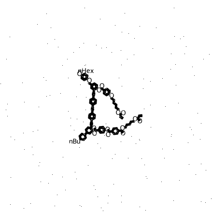 C=CC(=O)OCCCCCCOc1ccc(C(=O)Oc2ccc(COc3ccc(OCCCCCC)cc3)cc2C#Cc2ccc(C#Cc3ccc(C#CC4(OC(=O)c5ccc(OC(=O)C6CCC(C(=O)OCCCCCOC(=O)C=C)CC6)cc5)CCC(C5CCC(CCCC)CC5)CC4)cc3)cc2)cc1